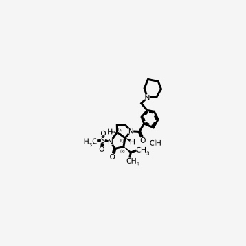 CC(C)[C@H]1C(=O)N(S(C)(=O)=O)[C@H]2CCN(C(=O)c3cccc(CN4CCCCC4)c3)[C@H]12.Cl